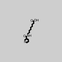 O=C(O)CCCCCCCCNC(=O)c1cccnc1